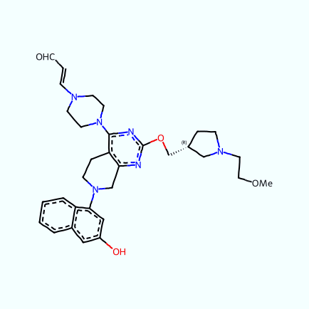 COCCN1CC[C@@H](COc2nc3c(c(N4CCN(C=CC=O)CC4)n2)CCN(c2cc(O)cc4ccccc24)C3)C1